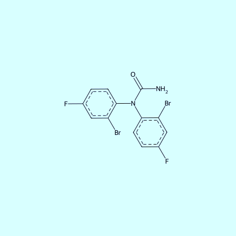 NC(=O)N(c1ccc(F)cc1Br)c1ccc(F)cc1Br